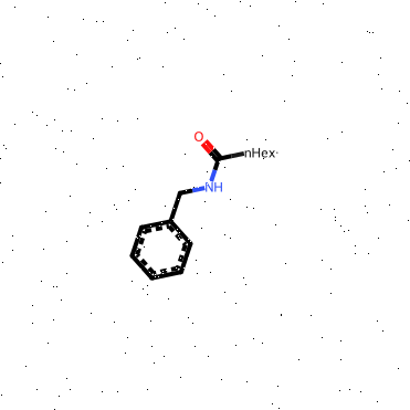 CCCCC[CH]C(=O)NCc1ccccc1